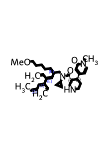 C=CC(=C\C=C/C)/C(C=C)=C/C(=C\CCCCOC)CN(C(=O)[C@H]1CNCC[C@@H]1c1ccn(C)c(=O)c1)C1CC1